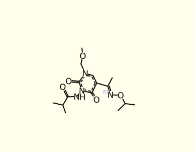 COCn1cc(/C(C)=N/OC(C)C)c(=O)n(NC(=O)C(C)C)c1=O